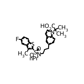 CCCN(CCCc1ccc2c(ccn2C(C)(C)C(=O)O)c1)S(=O)(=O)c1sc2ccc(F)cc2c1C